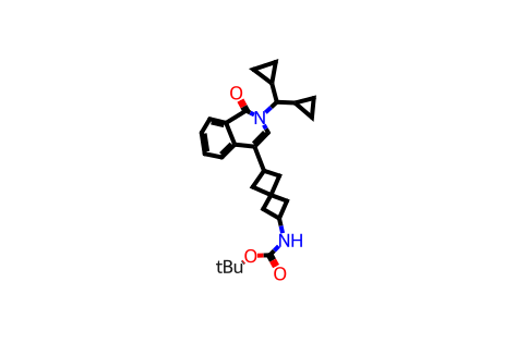 CC(C)(C)OC(=O)NC1CC2(C1)CC(c1cn(C(C3CC3)C3CC3)c(=O)c3ccccc13)C2